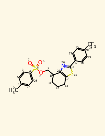 Cc1ccc(S(=O)(=O)OCC2CCCc3sc(-c4ccc(C(F)(F)F)cc4)nc32)cc1